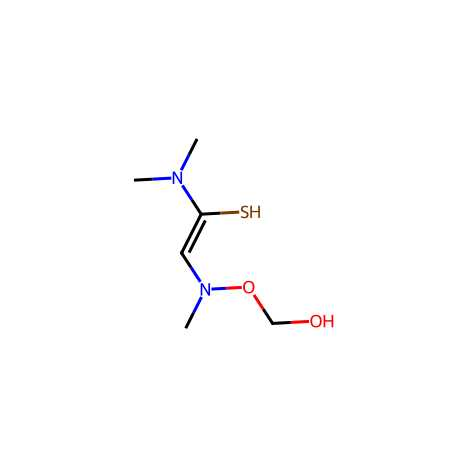 CN(/C=C(\S)N(C)C)OCO